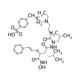 CCN(CC)CCCC(=O)N(CC(C)C)NC(=O)[C@H](CC(C)C)[C@H](CC=Cc1ccccc1)C(=O)NO.Cc1ccc(S(=O)(=O)O)cc1